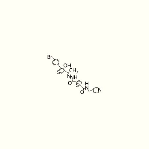 C/C(=N\NC(=O)c1ccc(C(=O)NCc2ccncc2)s1)c1csc(-c2ccc(Br)cc2)c1O